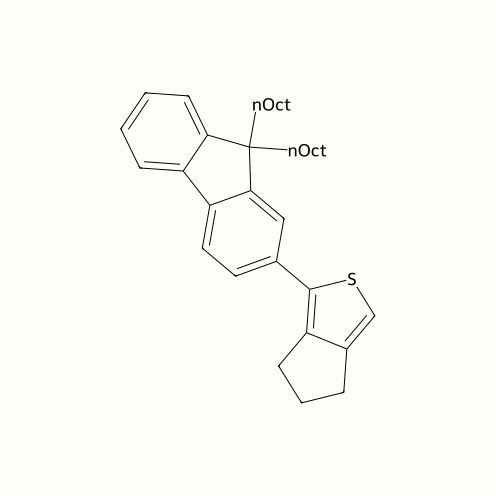 CCCCCCCCC1(CCCCCCCC)c2ccccc2-c2ccc(-c3scc4c3CCC4)cc21